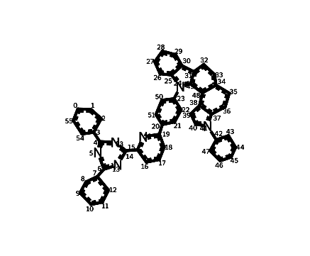 c1ccc(-c2nc(-c3ccccc3)nc(-c3cccc(-c4ccc(-n5c6ccccc6c6ccc7ccc8c(ccn8-c8ccccc8)c7c65)cc4)n3)n2)cc1